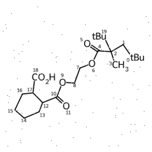 CC(C)(C)CC(C)(C(=O)OCCOC(=O)C1CCCCC1C(=O)O)C(C)(C)C